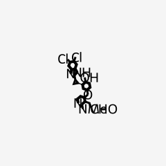 CNc1nccc(Oc2ccc(O)c([C@H]3CC3c3nc4cc(Cl)c(Cl)cc4[nH]3)c2)c1CCC=O